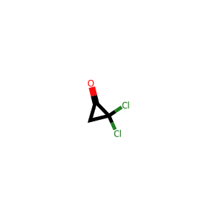 O=C1CC1(Cl)Cl